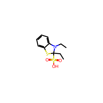 CCN1c2ccccc2SC1(CC)S(=O)(=O)O